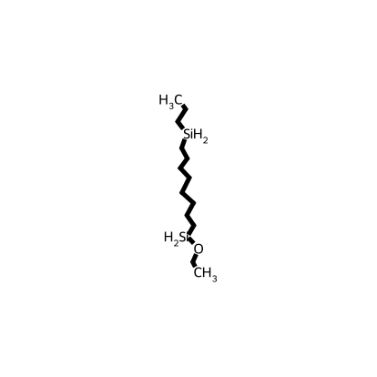 CCC[SiH2]CCCCCCCC[SiH2]OCC